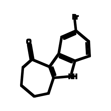 O=C1CCCCc2[nH]c3ccc(Br)cc3c21